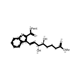 CCCCCC(=O)c1sc2ccccc2c1/C=C/[C@@H](O)[C@@H](O)CCCC(=O)OC